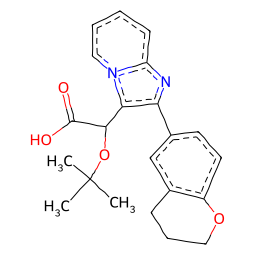 CC(C)(C)OC(C(=O)O)c1c(-c2ccc3c(c2)CCCO3)nc2ccccn12